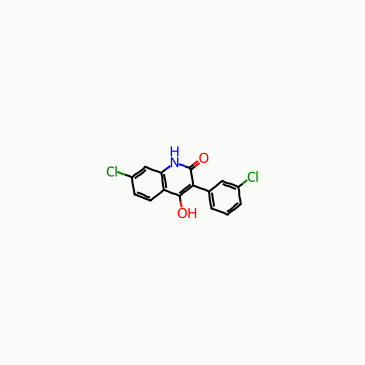 O=c1[nH]c2cc(Cl)ccc2c(O)c1-c1cccc(Cl)c1